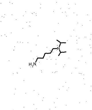 CC(C)N(CCCCCN)C(C)C